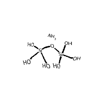 O[Si](O)(O)O[Si](O)(O)O.[AlH3]